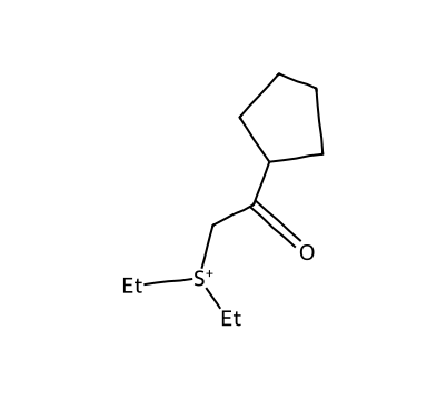 CC[S+](CC)CC(=O)C1CCCC1